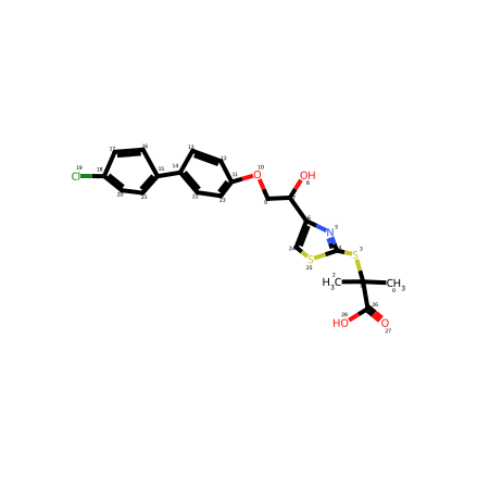 CC(C)(Sc1nc(C(O)COc2ccc(-c3ccc(Cl)cc3)cc2)cs1)C(=O)O